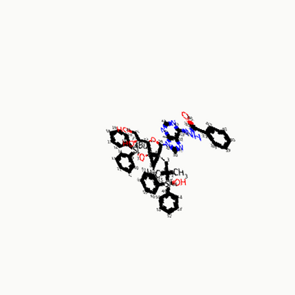 CC(C)(C[C@]12C[C@@]1(O[Si](c1ccccc1)(c1ccccc1)C(C)(C)C)[C@@H]([C@@H](O)CO)O[C@H]2n1cnc2c(NC(=O)c3ccccc3)ncnc21)[Si](O)(c1ccccc1)c1ccccc1